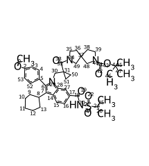 COc1ccc(-c2c(C3CCCCC3)c3ccc(C(=O)NS(=O)(=O)C(C)C)cc3n2CC2(C(=O)N3CCC4(CCN(C(=O)OC(C)(C)C)C4)C3)CC2)cc1